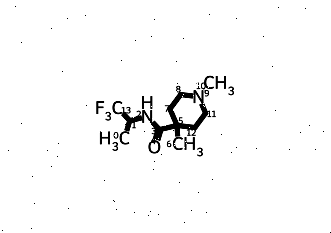 CC(NC(=O)C1(C)CCN(C)CC1)C(F)(F)F